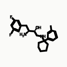 Cc1cccc(C2(NC[C@@H](O)[C@@H](N)Cc3cc(F)cc(F)c3)CCCCC2)c1